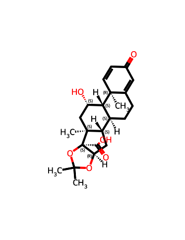 CC1(C)O[C@@H]2C[C@H]3[C@@H]4CCC5=CC(=O)C=C[C@]5(C)[C@H]4[C@@H](O)C[C@]3(C)[C@]2(C(=O)O)O1